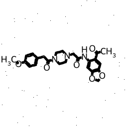 COc1ccc(CC(=O)N2CCN(CC(=O)Nc3cc4c(cc3C(C)=O)OCO4)CC2)cc1